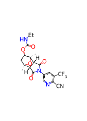 CCNC(=O)O[C@@H]1C[C@@]2(C)O[C@]1(C)[C@@H]1C(=O)N(c3cnc(C#N)c(C(F)(F)F)c3)C(=O)[C@@H]12